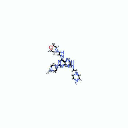 CN1CCN(CCNc2cnc3c(NCCN4CCOCC4)nc(N4CCN(C)CC4)nc3n2)CC1